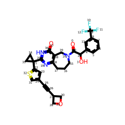 O=C(C(O)c1cccc(C(F)(F)F)c1)N1CCCc2nc(C3(c4cc(C#CC5COC5)cs4)CC3)[nH]c(=O)c2C1